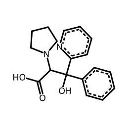 O=C(O)C(N1CCCC1)C(O)(c1ccccc1)c1ccccn1